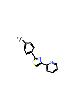 FC(F)(F)c1ccc(-c2nc(-c3ccccn3)cs2)cc1